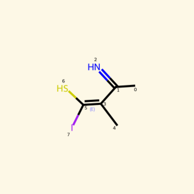 CC(=N)/C(C)=C(\S)I